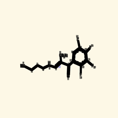 CCOC(=O)/C(=C\NCCCO)C(=O)c1cc(F)c(F)c(F)c1F